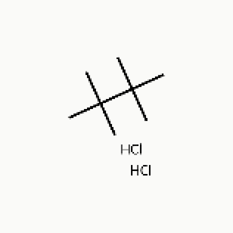 CC(C)(C)C(C)(C)C.Cl.Cl